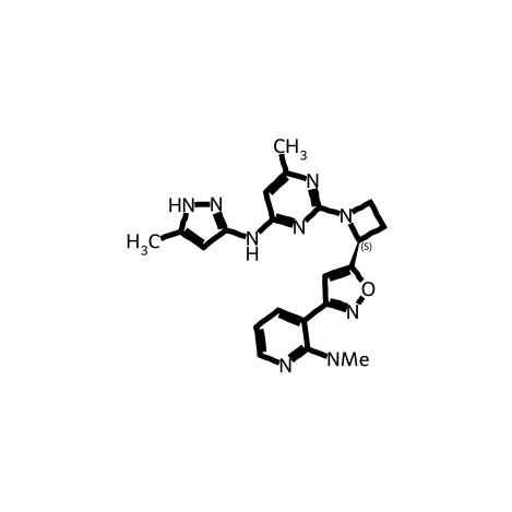 CNc1ncccc1-c1cc([C@@H]2CCN2c2nc(C)cc(Nc3cc(C)[nH]n3)n2)on1